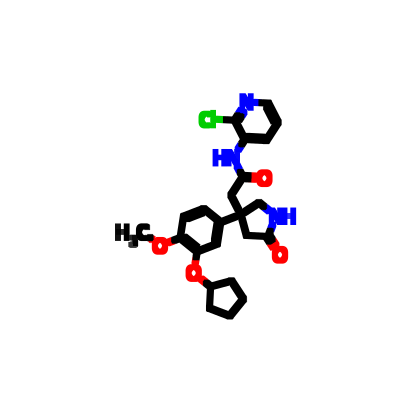 COc1ccc(C2(CC(=O)Nc3cccnc3Cl)CNC(=O)C2)cc1OC1CCCC1